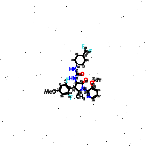 COc1cc(F)c([C@H]2C(NC(=O)N[C@H]3CC[C@H](C(F)F)CC3)C(=O)N(c3ncccc3OC(C)C)[C@H]2C)c(F)c1